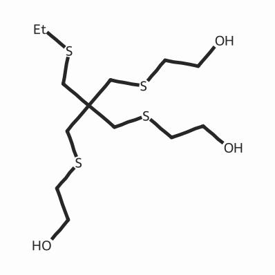 CCSCC(CSCCO)(CSCCO)CSCCO